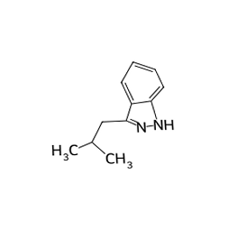 CC(C)Cc1n[nH]c2ccccc12